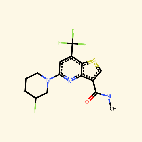 CNC(=O)c1csc2c(C(F)(F)F)cc(N3CC[CH]C(F)C3)nc12